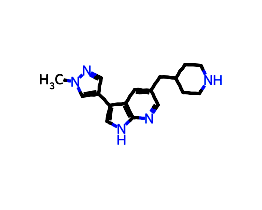 Cn1cc(-c2c[nH]c3ncc(CC4CCNCC4)cc23)cn1